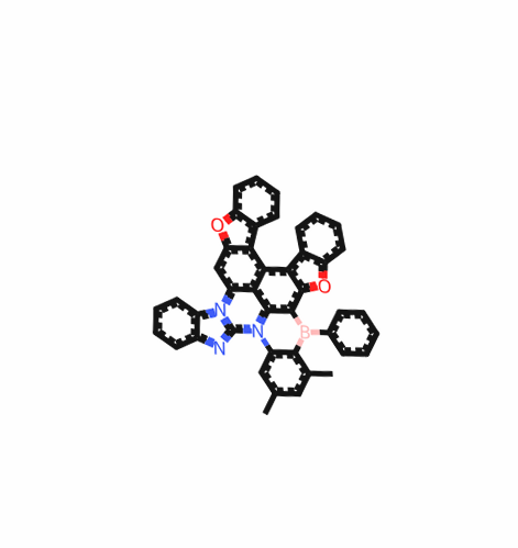 Cc1cc(C)c2c(c1)-n1c3c(c4oc5ccccc5c4c4c5c(cc(c43)n3c4ccccc4nc13)oc1ccccc15)B2c1ccccc1